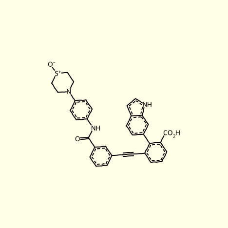 O=C(Nc1ccc(N2CC[S+]([O-])CC2)cc1)c1cccc(C#Cc2cccc(C(=O)O)c2-c2ccc3cc[nH]c3c2)c1